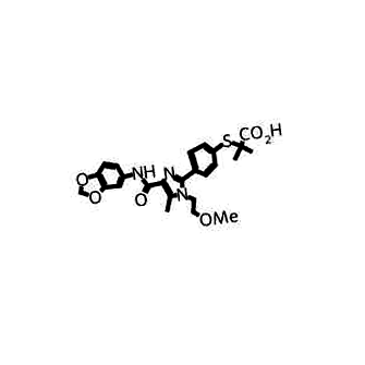 COCCn1c(-c2ccc(SC(C)(C)C(=O)O)cc2)nc(C(=O)Nc2ccc3c(c2)OCO3)c1C